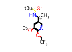 CCOc1cc([C@@H](C)N[S+]([O-])C(C)(C)C)cnc1OCC(F)(F)F